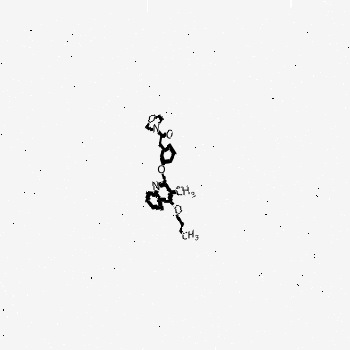 CCCCOc1c(C)c(COc2cccc(CC(=O)N3CCOCC3)c2)nc2ccccc12